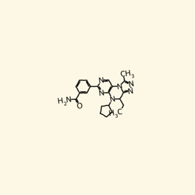 CCC1c2nnc(C)n2-c2cnc(-c3cccc(C(N)=O)c3)nc2N1C1CCCC1